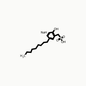 CCCCCCCCCc1ccc(O)c(CS(=O)(=O)O)c1.[NaH]